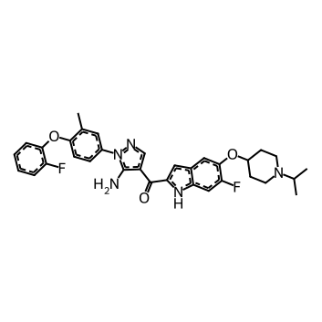 Cc1cc(-n2ncc(C(=O)c3cc4cc(OC5CCN(C(C)C)CC5)c(F)cc4[nH]3)c2N)ccc1Oc1ccccc1F